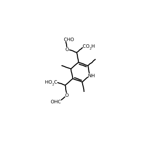 CC1=C(C(OC=O)C(=O)O)C(C)C(C(OC=O)C(=O)O)=C(C)N1